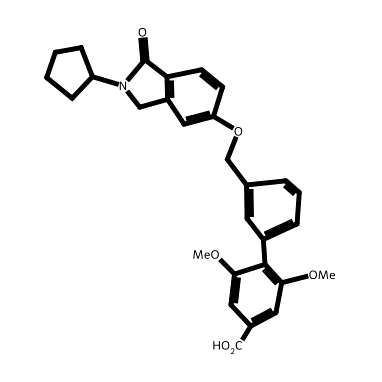 COc1cc(C(=O)O)cc(OC)c1-c1cccc(COc2ccc3c(c2)CN(C2CCCC2)C3=O)c1